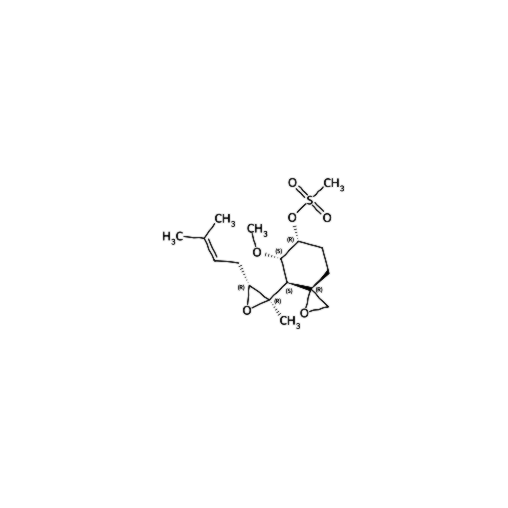 CO[C@@H]1[C@H](OS(C)(=O)=O)CC[C@]2(CO2)[C@H]1[C@@]1(C)O[C@@H]1CC=C(C)C